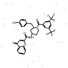 O=C(NC1CCN(C(=O)c2cc(C(F)(F)F)cc(C(F)(F)F)c2)C(Cc2ccc(Cl)cc2)C1)c1cc(=O)c2ccccc2o1